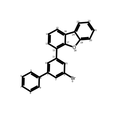 Brc1cc(-c2ccccc2)cc(-c2cccc3c2oc2ccccc23)c1